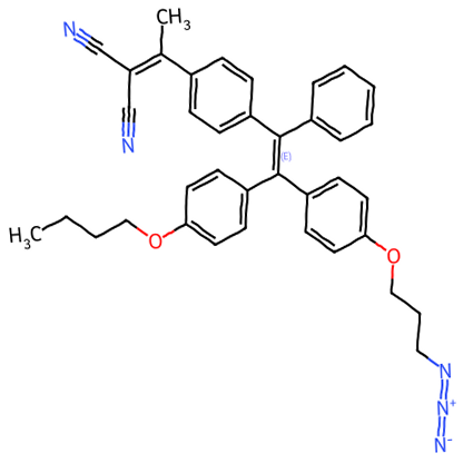 CCCCOc1ccc(/C(=C(/c2ccccc2)c2ccc(C(C)=C(C#N)C#N)cc2)c2ccc(OCCCN=[N+]=[N-])cc2)cc1